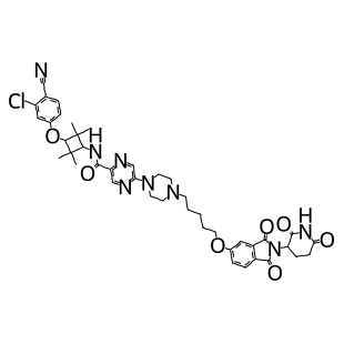 CC1(C)C(NC(=O)c2cnc(N3CCN(CCCCCOc4ccc5c(c4)C(=O)N(C4CCC(=O)NC4=O)C5=O)CC3)cn2)C(C)(C)C1Oc1ccc(C#N)c(Cl)c1